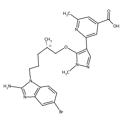 Cc1cc(C(=O)O)cc(-c2cnn(C)c2OC[C@@H](C)CCCn2c(N)nc3cc(Br)ccc32)n1